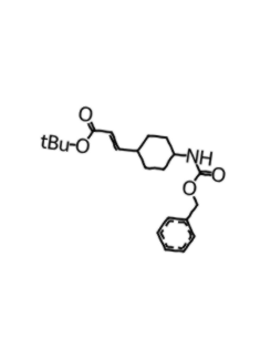 CC(C)(C)OC(=O)C=CC1CCC(NC(=O)OCc2ccccc2)CC1